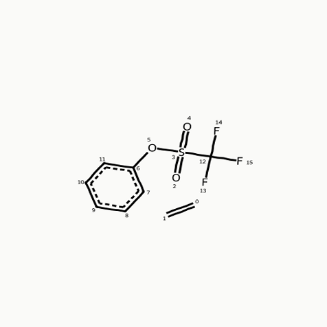 C=C.O=S(=O)(Oc1ccccc1)C(F)(F)F